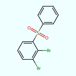 O=S(=O)(c1ccccc1)c1cccc(Br)c1Br